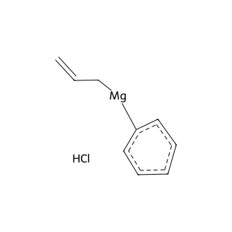 C=C[CH2][Mg][c]1ccccc1.Cl